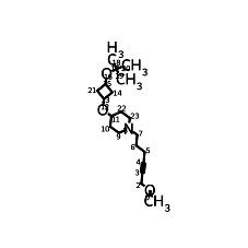 COCC#CCCCN1CCC(OC2CC(OC(C)(C)C)C2)CC1